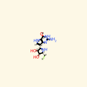 Nc1nc2c([C@@H]3N[C@H](CF)[C@@H](O)[C@H]3O)c[nH]c2c(=O)[nH]1